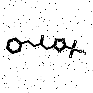 CS(=O)(=O)c1nnn(CC(=O)CCc2ccccc2)n1